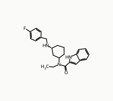 CCN(C(=O)c1cc2ccccc2[nH]1)C1CCC[C@H](NCc2ccc(F)cc2)C1